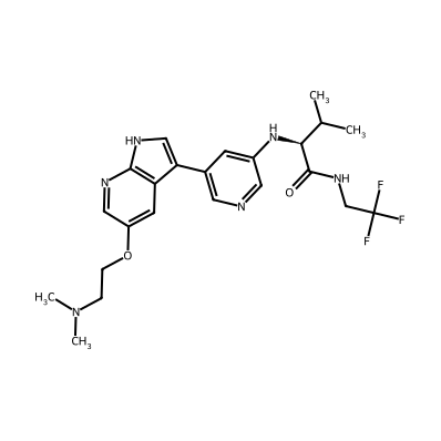 CC(C)[C@H](Nc1cncc(-c2c[nH]c3ncc(OCCN(C)C)cc23)c1)C(=O)NCC(F)(F)F